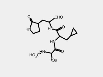 CC(C)(C)C(NC(=O)O)C(=O)NC(CC1CC1)C(=O)NC(C=O)CC1CCNC1=O